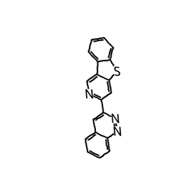 c1ccc2nnc(-c3cc4sc5ccccc5c4cn3)cc2c1